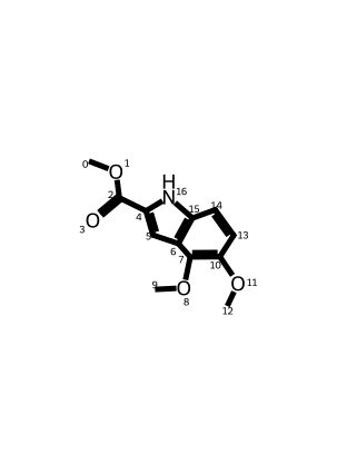 COC(=O)c1cc2c(OC)c(OC)ccc2[nH]1